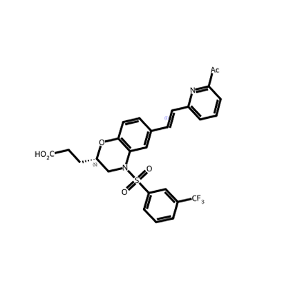 CC(=O)c1cccc(/C=C/c2ccc3c(c2)N(S(=O)(=O)c2cccc(C(F)(F)F)c2)C[C@H](CCC(=O)O)O3)n1